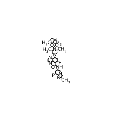 Cc1cn2cc(NC(=O)c3c(F)cc(N4CC(C)N(C(=O)OC(C)(C)C)C(C)C4)c4nccnc34)cc(F)c2n1